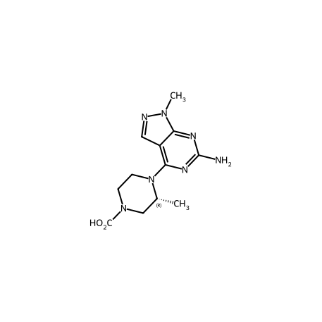 C[C@@H]1CN(C(=O)O)CCN1c1nc(N)nc2c1cnn2C